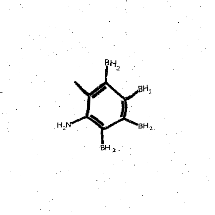 Bc1c(B)c(B)c(N)c(C)c1B